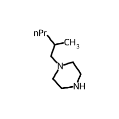 CCCC(C)CN1CCNCC1